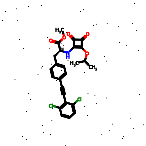 COC(=O)[C@H](Cc1ccc(C#Cc2c(Cl)cccc2Cl)cc1)Nc1c(OC(C)C)c(=O)c1=O